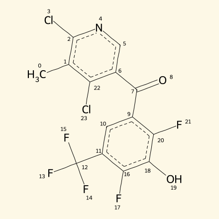 Cc1c(Cl)ncc(C(=O)c2cc(C(F)(F)F)c(F)c(O)c2F)c1Cl